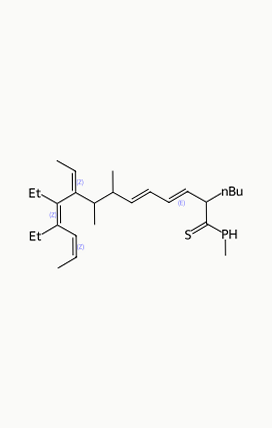 C\C=C/C(CC)=C(CC)\C(=C/C)C(C)C(C)C=C/C=C/C(CCCC)C(=S)PC